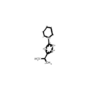 CC(C)c1nnc(N2CCCCC2)s1